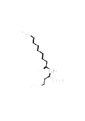 CCCCCCCCCCCCCCCCCC(=O)N[C@@H](CCC=O)C(=O)O